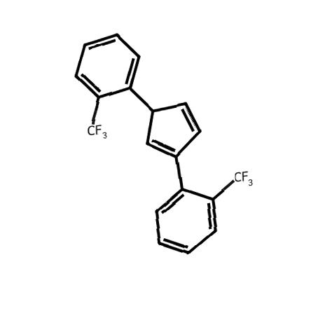 FC(F)(F)c1ccccc1C1=CC(c2ccccc2C(F)(F)F)C=C1